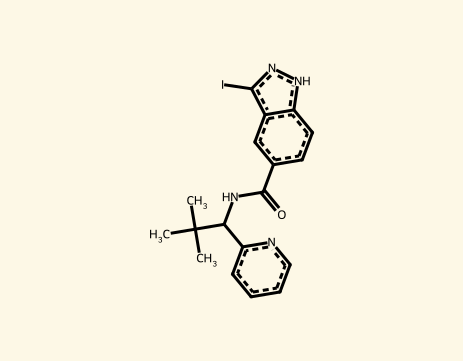 CC(C)(C)C(NC(=O)c1ccc2[nH]nc(I)c2c1)c1ccccn1